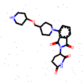 O=C1CCC(N2C(=O)c3cccc(N4CCC(COC5CCNCC5)CC4)c3C2=O)C(=O)N1